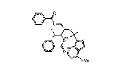 CSc1ncnc2c([C@](C)(C#N)O[C@H](COC(=O)c3ccccc3)[C@@H](OC(=O)c3ccccc3)[C@@H](C)F)scc12